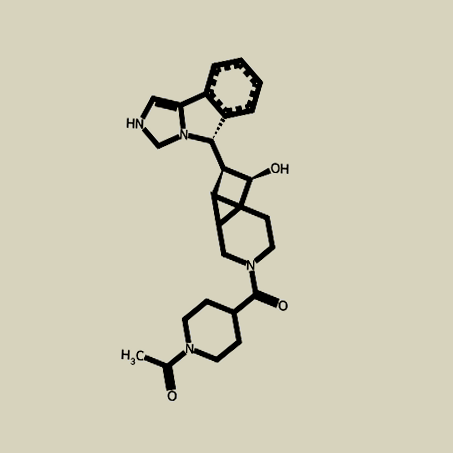 CC(=O)N1CCC(C(=O)N2CCC34C(C2)C3[C@@H]([C@H]2c3ccccc3C3=CNCN32)[C@H]4O)CC1